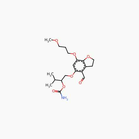 COCCCOc1cc(OCC(OC(N)=O)C(C)C)c(C=O)c2c1OCC2